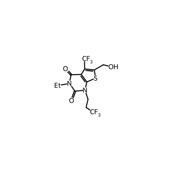 CCn1c(=O)c2c(C(F)(F)F)c(CO)sc2n(CCC(F)(F)F)c1=O